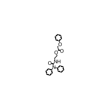 O=C(COc1ccccc1)OCCNC(=O)N(c1ccccc1)c1ccccc1